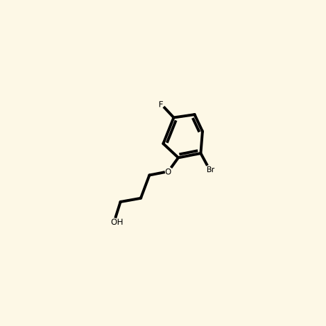 OCCCOc1cc(F)ccc1Br